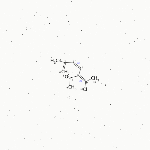 C=C(C)/C=C\C(C(C)=O)=C(/C)Cl